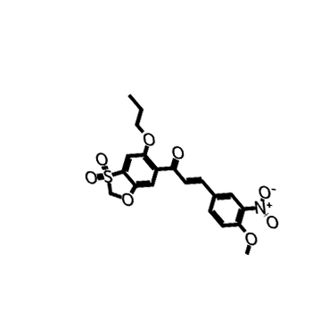 CCCOc1cc2c(cc1C(=O)/C=C/c1ccc(OC)c([N+](=O)[O-])c1)OCS2(=O)=O